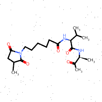 CC(=O)[C@H](C)NC(=O)[C@@H](NC(=O)CCCCCN1C(=O)CC(C)C1=O)C(C)C